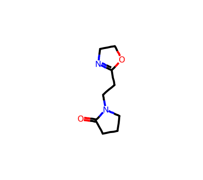 O=C1CCCN1CCC1=NCCO1